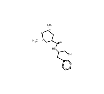 C[C@@H]1CN(C(=O)NC(CS)Cc2ccccc2)C[C@H](C)O1